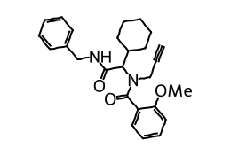 C#CCN(C(=O)c1ccccc1OC)C(C(=O)NCc1ccccc1)C1CCCCC1